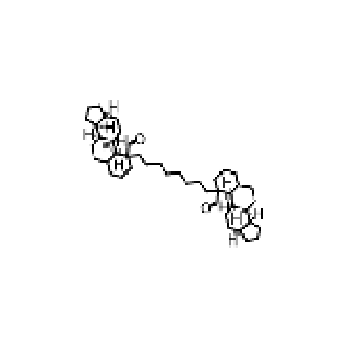 O=CC1(CCCCCCCCC2(C=O)CCCC3CC[C@H]4[C@@H]5CCC[C@H]5CC[C@H]4[C@H]32)CCCC2CC[C@H]3[C@@H]4CCC[C@H]4CC[C@H]3[C@H]21